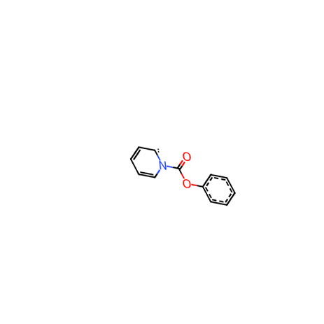 O=C(Oc1ccccc1)N1[C]C=CC=C1